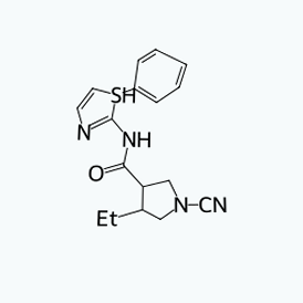 CCC1CN(C#N)CC1C(=O)NC1=NC=C[SH]1c1ccccc1